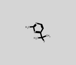 Cc1nccc(C(C)(C)F)n1